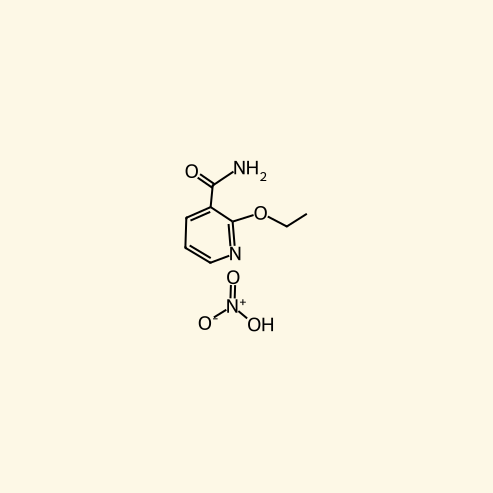 CCOc1ncccc1C(N)=O.O=[N+]([O-])O